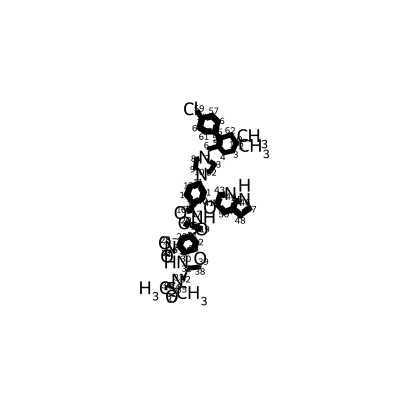 CC1(C)CCC(CN2CCN(c3ccc(C(=O)NS(=O)(=O)c4cc5c(c([N+](=O)[O-])c4)N[C@H](CN=S(C)(C)=O)CO5)c(Oc4cnc5[nH]ccc5c4)c3)CC2)=C(c2ccc(Cl)cc2)C1